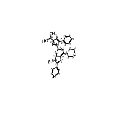 CCn1c(-c2ccncc2)nc2c(N3CCOCC3)nc(-n3nc(C(C)O)cc3-c3ccccc3)nc21